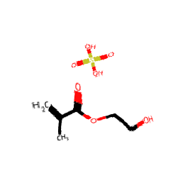 C=C(C)C(=O)OCCO.O=S(=O)(O)O